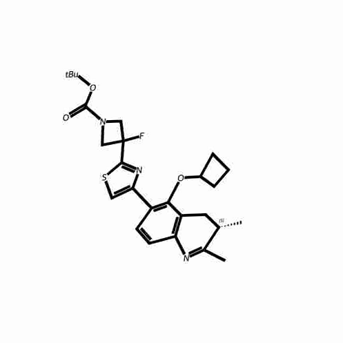 CC1=Nc2ccc(-c3csc(C4(F)CN(C(=O)OC(C)(C)C)C4)n3)c(OC3CCC3)c2C[C@@H]1C